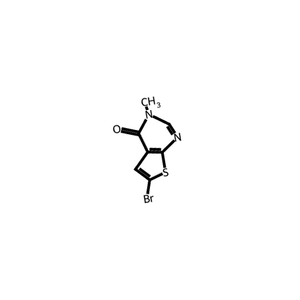 Cn1cnc2sc(Br)cc2c1=O